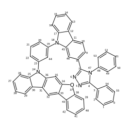 c1ccc(-c2nnc(-c3ccc4c5ccccc5n(-c5cccc(-n6c7ccccc7c7cc8c(cc76)oc6ccccc68)c5)c4c3)n2-c2ccccc2)cc1